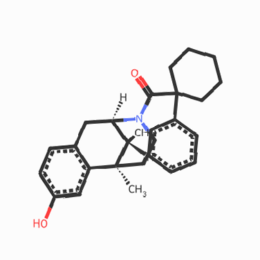 C[C@H]1[C@H]2Cc3ccc(O)cc3[C@]1(C)CCN2C(=O)C1(c2ccccc2)CCCCC1